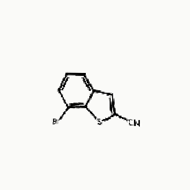 N#Cc1cc2cccc(Br)c2s1